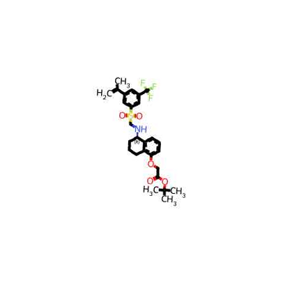 C=C(C)c1cc(C(F)(F)F)cc(S(=O)(=O)CN[C@@H]2CCCc3c(OCC(=O)OC(C)(C)C)cccc32)c1